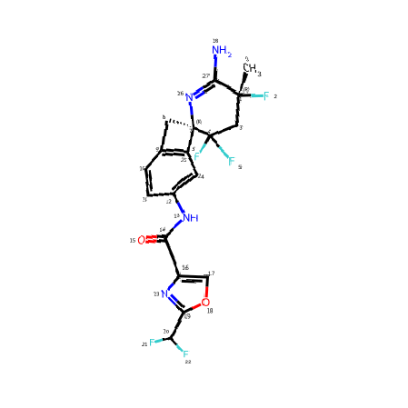 C[C@@]1(F)CC(F)(F)[C@]2(Cc3ccc(NC(=O)c4coc(C(F)F)n4)cc32)N=C1N